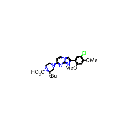 COc1cc(OC)c(-c2cn3ccc(N4CCN(C(=O)O)C(C(C)(C)C)C4)nc3n2)cc1Cl